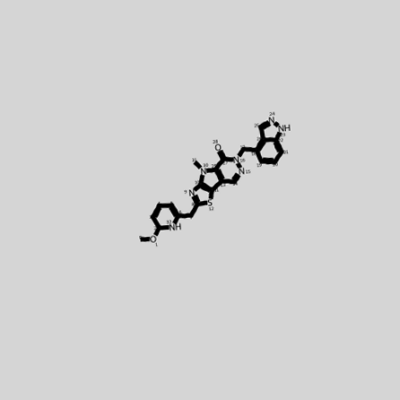 COC1C=CC=C(Cc2nc3c(s2)c2cnn(Cc4cccc5[nH]ncc45)c(=O)c2n3C)N1